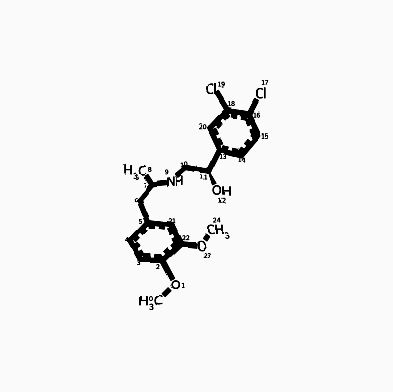 COc1ccc(CC(C)NC[C@H](O)c2ccc(Cl)c(Cl)c2)cc1OC